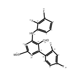 CSc1nc(Nc2cccc(F)c2F)c(C=O)c(-c2ccc(F)cc2F)n1